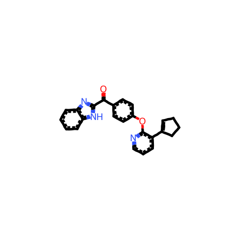 O=C(c1ccc(Oc2ncccc2C2=CCCC2)cc1)c1nc2ccccc2[nH]1